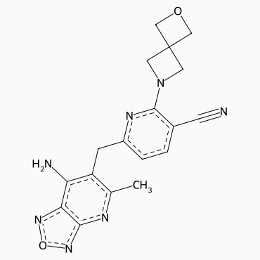 Cc1nc2nonc2c(N)c1Cc1ccc(C#N)c(N2CC3(COC3)C2)n1